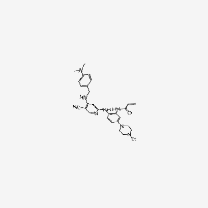 C=CC(=O)Nc1cc(N2CCN(CC)CC2)ccc1Nc1cc(NCc2ccc(N(C)C)cc2)c(C#N)cn1